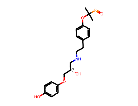 CC(C)(Oc1ccc(CCNC[C@H](O)COc2ccc(O)cc2)cc1)P=O